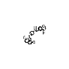 O=c1ccc2ccc(=O)n3c2n1CC3CN1CCC(NCc2ccc3c(c2)NCCO3)CC1